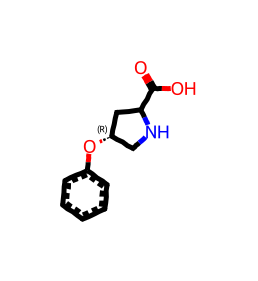 O=C(O)C1C[C@@H](Oc2ccccc2)CN1